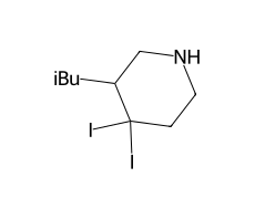 CCC(C)C1CNCCC1(I)I